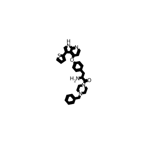 NC(Cc1ccc(Oc2ccnc3[nH]cc(-c4cccs4)c23)cc1)C(=O)N1CCN(Cc2ccccc2)CC1